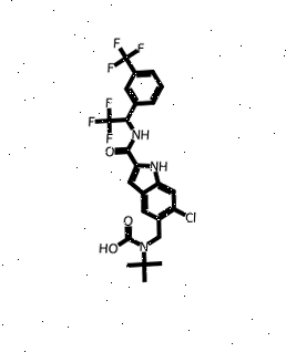 CC(C)(C)N(Cc1cc2cc(C(=O)NC(c3cccc(C(F)(F)F)c3)C(F)(F)F)[nH]c2cc1Cl)C(=O)O